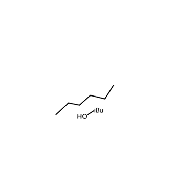 CCC(C)O.CCCCCC